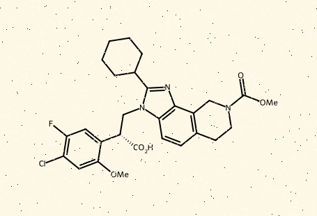 COC(=O)N1CCc2ccc3c(nc(C4CCCCC4)n3C[C@H](C(=O)O)c3cc(F)c(Cl)cc3OC)c2C1